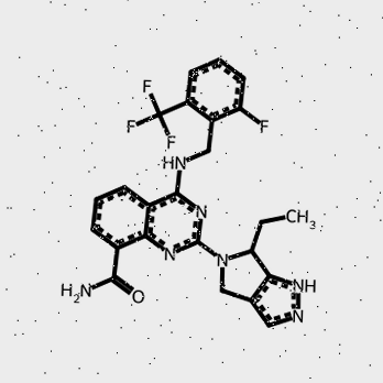 CCC1c2[nH]ncc2CN1c1nc(NCc2c(F)cccc2C(F)(F)F)c2cccc(C(N)=O)c2n1